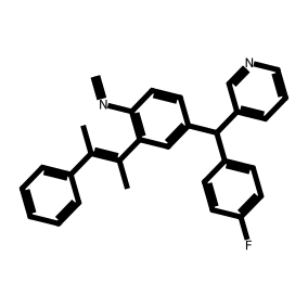 C=Nc1ccc(C(c2ccc(F)cc2)c2cccnc2)cc1/C(C)=C(\C)c1ccccc1